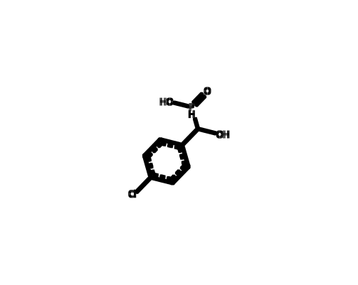 O=[PH](O)C(O)c1ccc(Cl)cc1